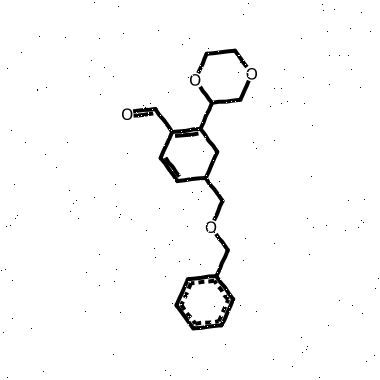 O=CC1=C(C2COCCO2)CC(COCc2ccccc2)C=C1